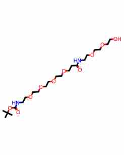 CC(C)(C)OC(=O)NCCOCCOCCOCCOCCC(=O)NCCOCCOCCO